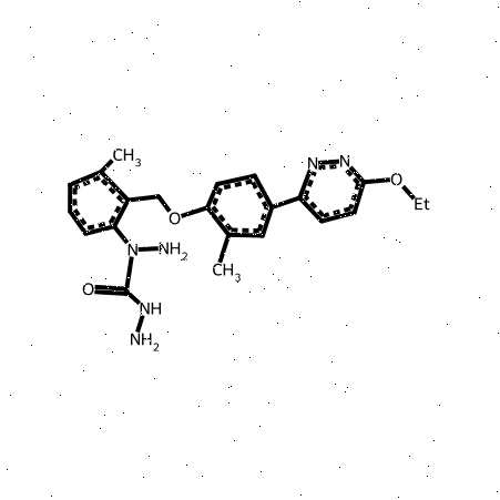 CCOc1ccc(-c2ccc(OCc3c(C)cccc3N(N)C(=O)NN)c(C)c2)nn1